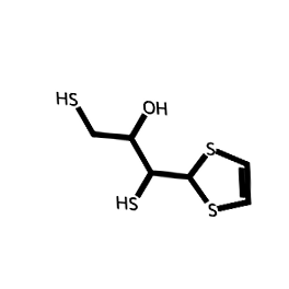 OC(CS)C(S)C1SC=CS1